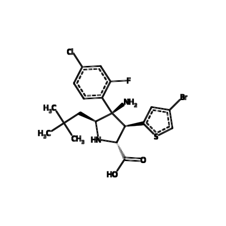 CC(C)(C)C[C@@H]1N[C@@H](C(=O)O)[C@H](c2cc(Br)cs2)[C@@]1(N)c1ccc(Cl)cc1F